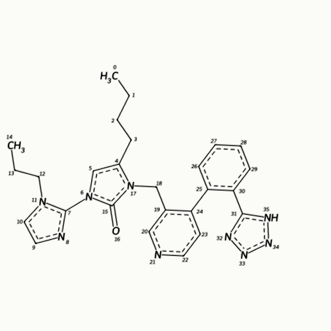 CCCCc1cn(-c2nccn2CCC)c(=O)n1Cc1cnccc1-c1ccccc1-c1nnn[nH]1